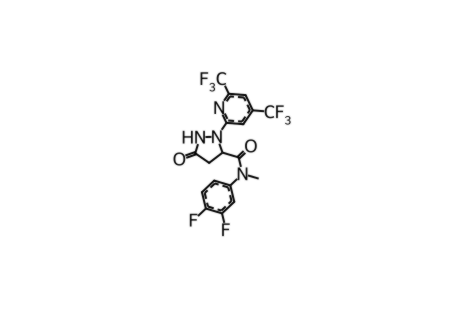 CN(C(=O)C1CC(=O)NN1c1cc(C(F)(F)F)cc(C(F)(F)F)n1)c1ccc(F)c(F)c1